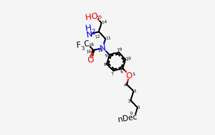 CCCCCCCCCCCCCCOc1ccc(N(CC(N)CO)C(=O)C(F)(F)F)cc1